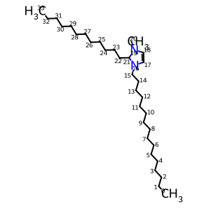 CCCCCCCCCCCCCCCCN1C=CN(C)C1CCCCCCCCCCCC